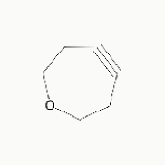 C1#CCCOCC1